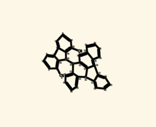 N#Cc1cccc2c3cccc(C#N)c3n(B3c4ccccc4-n4c5ccccc5c5c6ccccc6cc3c54)c12